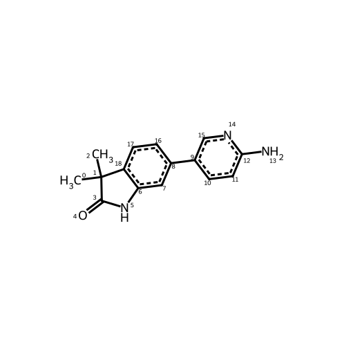 CC1(C)C(=O)Nc2cc(-c3ccc(N)nc3)ccc21